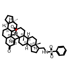 CN1C(=O)CC[C@]2(C)[C@@H]3CC[C@]4(C)C(CNS(=O)(=O)c5ccccc5)CC[C@H]4[C@@H]3CCC12C1=CC(=O)CC2CC[C@@H]3[C@@H](CC[C@]4(C)CCC[C@@H]34)[C@@]12N